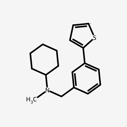 CN(Cc1cccc(-c2cc[c]s2)c1)C1CCCCC1